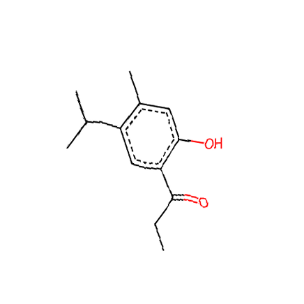 CCC(=O)c1cc(C(C)C)c(C)cc1O